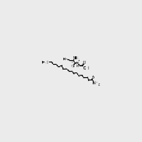 CCCCCCCCCCCCCCCCCC(N)=O.N[C@@H](CS)C(=O)NCC(=O)O